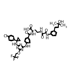 CC(C)(O)C=Cc1cccc(NC(=O)C(=O)NCC[C@H](NC(=O)c2ccc(Nc3nc(NC4(c5ccc(Cl)cc5)CC4)nc(OCC(F)(F)F)n3)cc2)C(=O)O)c1